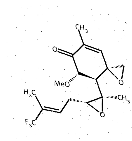 CO[C@@H]1C(=O)C(C)=C[C@]2(CO2)[C@H]1[C@@]1(C)O[C@@H]1C/C=C(\C)C(F)(F)F